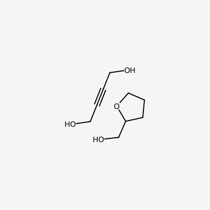 OCC#CCO.OCC1CCCO1